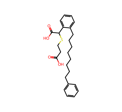 O=C(O)CCSC(C(=O)O)c1ccccc1CCCCCCCCc1ccccc1